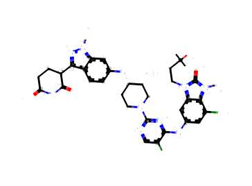 C[C@@H]1CN(c2ncc(Cl)c(Nc3cc(F)c4c(c3)n(CCC(C)(C)O)c(=O)n4C)n2)CC[C@@H]1Nc1ccc2c(C3CCC(=O)NC3=O)nn(C)c2c1